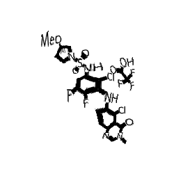 CO[C@@H]1CCN(S(=O)(=O)Nc2cc(F)c(F)c(Nc3ccc4ncn(C)c(=O)c4c3Cl)c2Cl)C1.O=C(O)C(F)(F)F